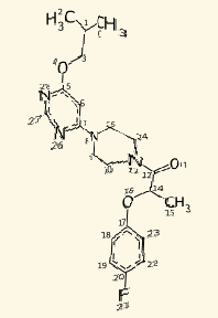 CC(C)COc1cc(N2CCN(C(=O)C(C)Oc3ccc(F)cc3)CC2)ncn1